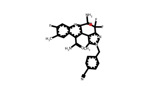 Cc1cc2c(C(N)=O)c(-c3c(C(F)(F)F)nn(Cc4ccc(C#N)cc4)c3C)c(C(N)=O)nc2cc1F